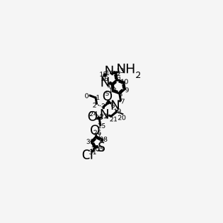 CCC[C@@H]1C(=O)N(Cc2ccc3c(N)ncnc3c2)[C@@H](C)CN1C(=O)COc1csc(Cl)c1